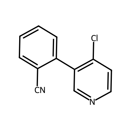 N#Cc1ccccc1-c1cnccc1Cl